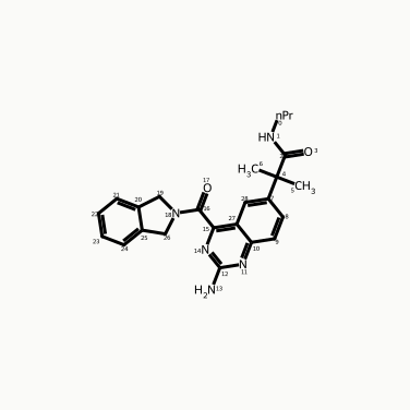 CCCNC(=O)C(C)(C)c1ccc2nc(N)nc(C(=O)N3Cc4ccccc4C3)c2c1